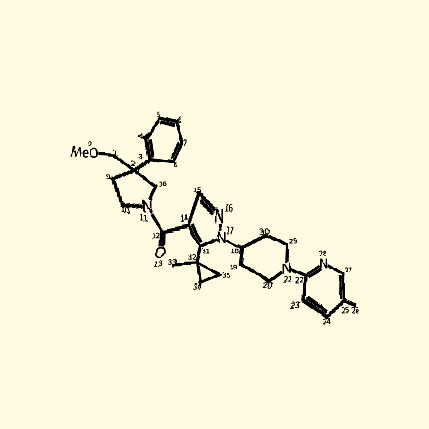 COCC1(c2ccccc2)CCN(C(=O)c2cnn(C3CCN(c4ccc(C)cn4)CC3)c2C2(C)CC2)C1